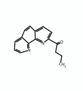 CCCC(=O)c1ccc2ccc3cccnc3c2n1